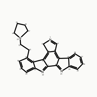 C1=NCc2c1c1c(c3c2-c2c(CCN4CCCC4)cccc2N=3)=Nc2ccccc2-1